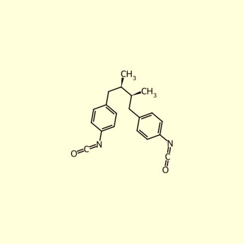 C[C@H](Cc1ccc(N=C=O)cc1)[C@@H](C)Cc1ccc(N=C=O)cc1